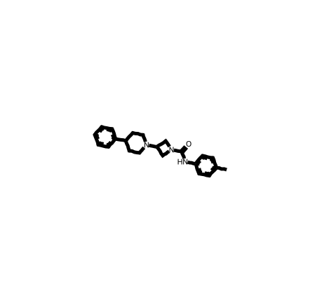 Cc1ccc(NC(=O)N2CC(N3CCC(c4ccccc4)CC3)C2)cc1